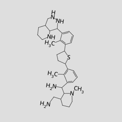 Cc1c(C2CCC(c3cccc(C4NNCC5CCCNC54)c3C)S2)cccc1C(N)C1C(CN)CCCN1C